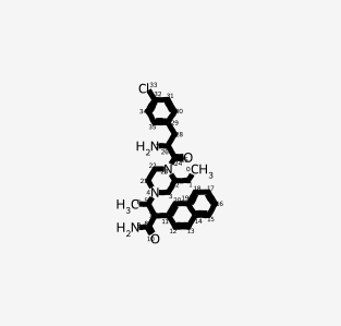 CCC1CN(C(C)C(C(N)=O)c2ccc3ccccc3c2)CCN1C(=O)C(N)Cc1ccc(Cl)cc1